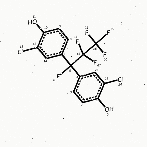 Oc1ccc(C(F)(c2ccc(O)c(Cl)c2)C(F)(F)C(F)(F)F)cc1Cl